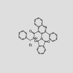 CC[C@@H](NC(=O)c1c(N2C(=O)c3ccccc3C2=O)c(-c2ccccc2)nc2ccccc12)c1ccccc1